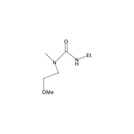 CCNC(=O)N(C)CCOC